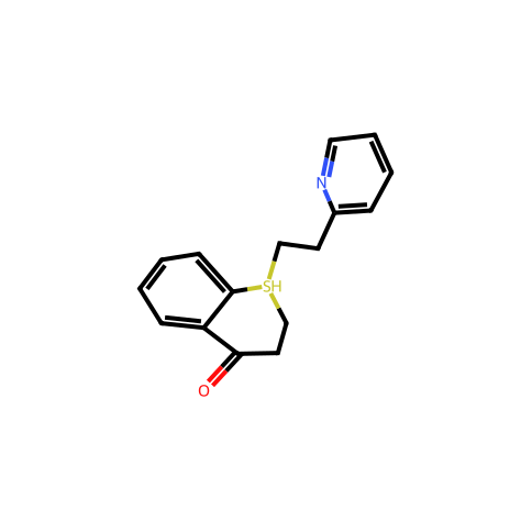 O=C1CC[SH](CCc2ccccn2)c2ccccc21